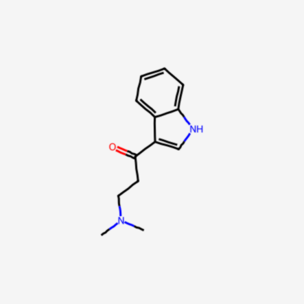 CN(C)CCC(=O)c1c[nH]c2ccccc12